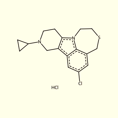 Cl.Clc1cc2c3c(c1)c1c(n3CCSC2)CCN(C2CC2)C1